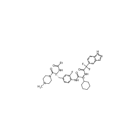 CCC(=O)N[C@H](Cc1ccc(NC(=O)[C@@H](NC(=O)C(F)(F)c2ccc3[nH]ncc3c2)C2CCCCC2)c(F)c1)C(=O)N1CCN(C)CC1